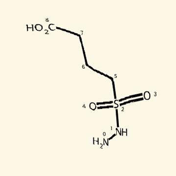 NNS(=O)(=O)CCCC(=O)O